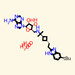 CC(C)(C)c1ccc2[nH]c(CC[C@H]3C[C@H](C(C)(C)NC[C@H]4O[C@@H](n5cnc6c(N)ncnc65)[C@H](O)[C@@H]4O)C3)nc2c1.O.O.O